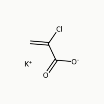 C=C(Cl)C(=O)[O-].[K+]